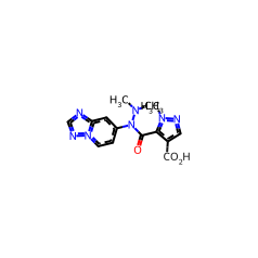 CN(C)N(C(=O)c1c(C(=O)O)cnn1C)c1ccn2ncnc2c1